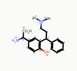 CC(C)N(CCC(c1ccccc1)c1cc(C(N)C(=O)O)ccc1O)C(C)C